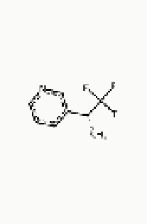 C[C@H](c1cccnc1)C(F)(F)F